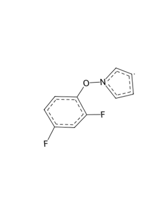 Fc1ccc(On2c[c]cc2)c(F)c1